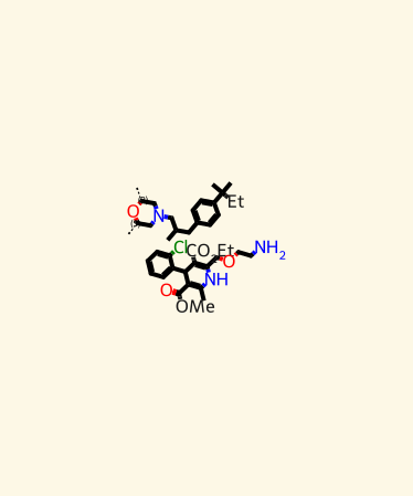 CCC(C)(C)c1ccc(CC(C)CN2C[C@@H](C)O[C@@H](C)C2)cc1.CCOC(=O)C1=C(COCCN)NC(C)=C(C(=O)OC)C1c1ccccc1Cl